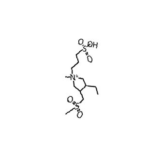 CCC1C[N+](C)(CCCS(=O)(=O)O)CC1CS(C)(=O)=O